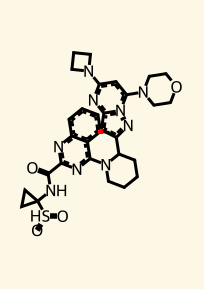 Cc1cccc2nc(C(=O)NC3([SH](=O)=O)CC3)nc(N3CCCCC3c3cc4nc(N5CCC5)cc(N5CCOCC5)n4n3)c12